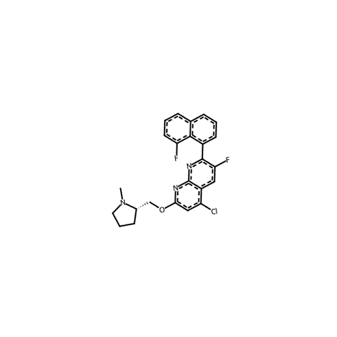 CN1CCC[C@H]1COc1cc(Cl)c2cc(F)c(-c3cccc4cccc(F)c34)nc2n1